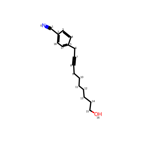 N#Cc1ccc(CC#CCCCCCCCO)cc1